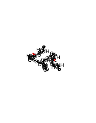 CCOP(=O)(Cc1nnc(-c2cc(C(=O)NCCOCCOCCC(=O)N(C)[C@H](C(=O)N[C@H](C(=O)N(C)[C@@H]([C@@H](C)CC)[C@@H](CC(=O)N3CCC[C@H]3C[C@@H](C)C(=O)N[C@H](C)[C@@H](O)c3ccccc3)OC)C(C)C)C(C)C)cc(C(=O)NCCOCCOCCC(=O)N(C)[C@H](C(=O)N[C@H](C(=O)N(C)[C@H](CCC(=O)N3CCC[C@H]3C[C@@H](C)C(=O)N[C@H](C)[C@@H](O)c3ccccc3)[C@@H](C)CC)C(C)C)C(C)C)c2)nn1)OCC